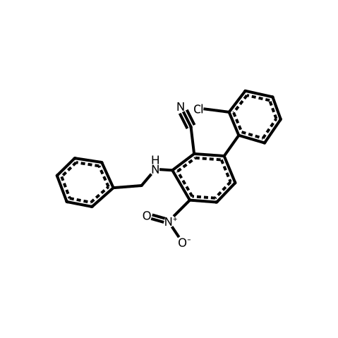 N#Cc1c(-c2ccccc2Cl)ccc([N+](=O)[O-])c1NCc1ccccc1